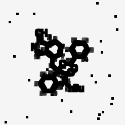 CCCCN1C(=O)C(Cc2cccc3c2cnn3C)(OC(=O)c2ccccc2)c2ccccc21